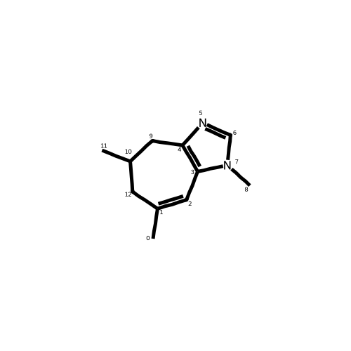 CC1=Cc2c(ncn2C)CC(C)C1